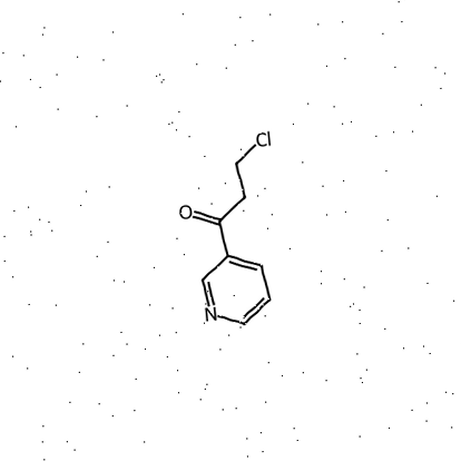 O=C(CCCl)c1cccnc1